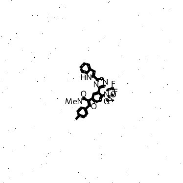 CNC(=O)c1c(-c2ccc(C)cc2)oc2cc(N(CC(F)F)S(C)(=O)=O)c(-c3cncc(-c4cc5ccccc5[nH]4)n3)cc12